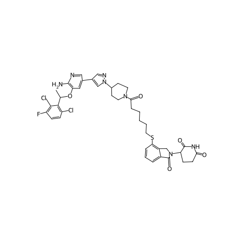 CC(Oc1cc(-c2cnn(C3CCN(C(=O)CCCCCSc4cccc5c4CN(C4CCC(=O)NC4=O)C5=O)CC3)c2)cnc1N)c1c(Cl)ccc(F)c1Cl